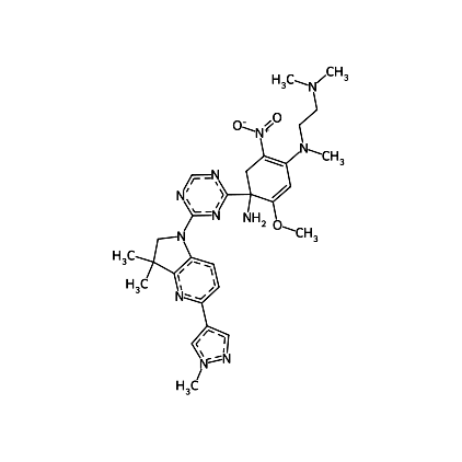 COC1=CC(N(C)CCN(C)C)=C([N+](=O)[O-])CC1(N)c1ncnc(N2CC(C)(C)c3nc(-c4cnn(C)c4)ccc32)n1